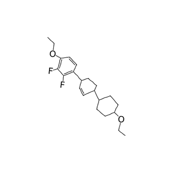 CCOc1ccc(C2C=CC(C3CCC(OCC)CC3)CC2)c(F)c1F